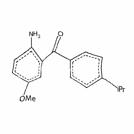 COc1ccc(N)c(C(=O)c2ccc(C(C)C)cc2)c1